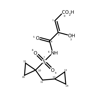 O=C(O)C=C(O)C(=O)NS(=O)(=O)C1(CC2CC2)CC1